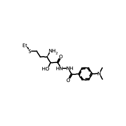 CCSCC[C@@H](N)C(O)C(=O)NNC(=O)c1ccc(N(C)C)cc1